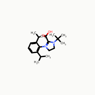 CC(C)c1cccc(C(C)C)c1[N+]1=C(C(=O)O)N(C(C)(C)C)CC1